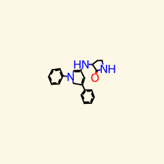 O=C1NCCC1NC1=CN(c2ccccc2)CC(c2ccccc2)=C1